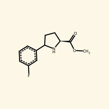 COC(=O)[C@@H]1CCC(c2cccc(F)c2)N1